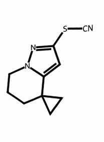 N#CSc1cc2n(n1)CCCC21CC1